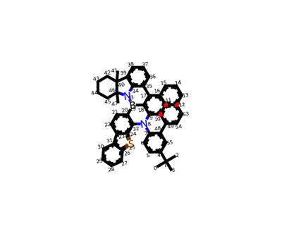 CC(C)(C)c1ccc(N2c3cc4ccccc4c4c3B(c3ccc5c(sc6ccccc65)c32)N2c3c-4cccc3C3(C)CCCCC23C)c(-c2ccccc2)c1